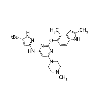 Cc1cc2c(C)c(Oc3nc(Nc4cc(C(C)(C)C)[nH]n4)cc(N4CCN(C)CC4)n3)ccc2[nH]1